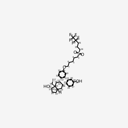 O=S(=O)(CCCCCOc1ccc([C@H]2C[C@]3(CI)[C@@H](CC[C@@H]3O)C[C@H]2c2ccc(O)cc2)cc1)CCCC(F)(F)C(F)(F)F